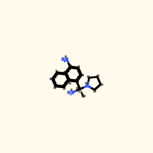 C[C@](N)(c1ccc(N)c2ccccc12)N1CCCC1